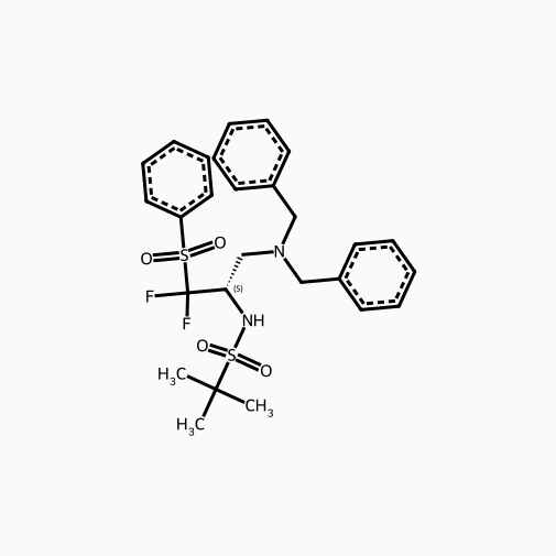 CC(C)(C)S(=O)(=O)N[C@@H](CN(Cc1ccccc1)Cc1ccccc1)C(F)(F)S(=O)(=O)c1ccccc1